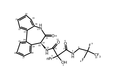 CCCC(O)(C(=O)NCC(F)(F)C(F)(F)F)C(=O)N[C@@H]1C(=O)Nc2ccccc2-c2ccccc21